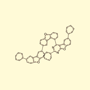 c1ccc(-c2ccc3oc4ccc(-c5ccc6oc7cccc(-c8nc(-c9ccccc9)nc9oc%10ccc(-c%11ccccc%11)cc%10c89)c7c6c5)cc4c3c2)cc1